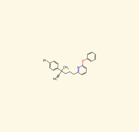 C#CC(C)(CCCc1cccc(Oc2ccccc2)n1)c1ccc(C(C)C)cc1